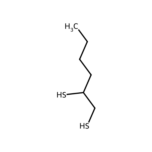 CCCCC(S)CS